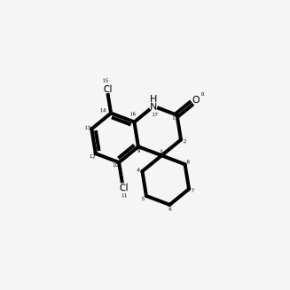 O=C1CC2(CCCCC2)c2c(Cl)ccc(Cl)c2N1